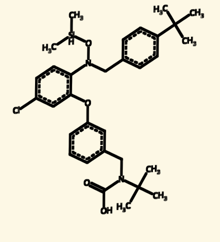 C[SiH](C)ON(Cc1ccc(C(C)(C)C)cc1)c1ccc(Cl)cc1Oc1cccc(CN(C(=O)O)C(C)(C)C)c1